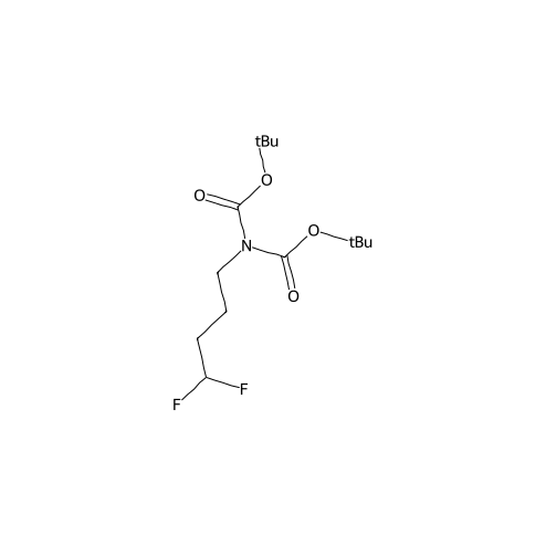 CC(C)(C)OC(=O)N(CCCC(F)F)C(=O)OC(C)(C)C